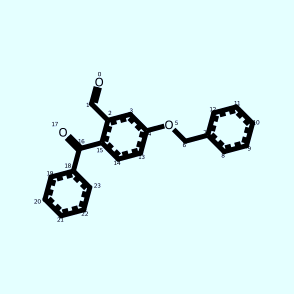 O=Cc1cc(OCc2ccccc2)ccc1C(=O)c1ccccc1